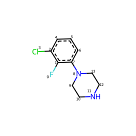 Fc1c(Cl)cccc1N1CCNCC1